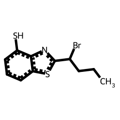 CCCC(Br)c1nc2c(S)cccc2s1